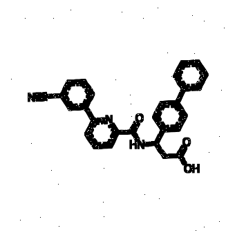 N#Cc1cccc(-c2cccc(C(=O)NC(CC(=O)O)c3ccc(-c4ccccc4)cc3)n2)c1